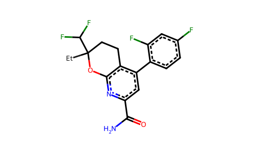 CCC1(C(F)F)CCc2c(-c3ccc(F)cc3F)cc(C(N)=O)nc2O1